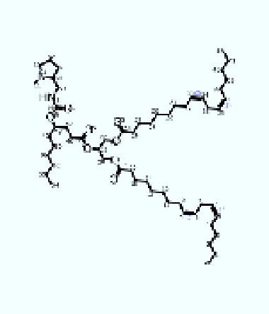 CCCCC/C=C\C/C=C\CCCCCCCC(=O)OCC(COC(=O)CCCCCCC/C=C\C/C=C\CCCCC)OC(=O)CCC(CCCCCC)OC(=O)NCC1CCCN1C